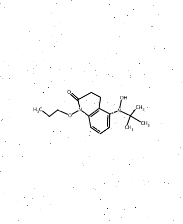 CCCON1C(=O)CCc2c1cccc2N(O)C(C)(C)C